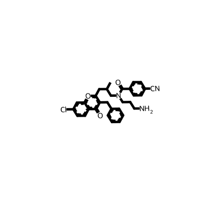 CC(Cc1oc2cc(Cl)ccc2c(=O)c1Cc1ccccc1)CN(CCCN)C(=O)c1ccc(C#N)cc1